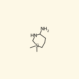 C[Si]1(C)CCCC(N)NC1